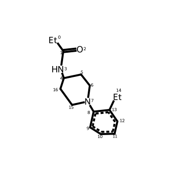 CCC(=O)NC1CCN(c2ccccc2CC)CC1